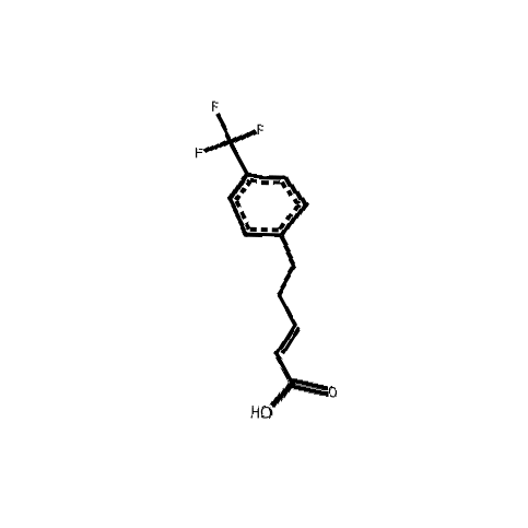 O=C(O)C=CCCc1ccc(C(F)(F)F)cc1